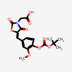 COc1cc(C=C2SC(=O)N(CC(=O)O)C2=O)ccc1OC(=O)OC(C)(C)C